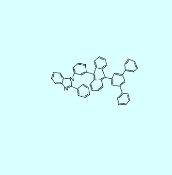 c1ccc(-c2cc(-c3ccccc3)cc(-c3c4ccccc4c(-c4cccc(-n5c(-c6ccccc6)nc6ccccc65)c4)c4ccccc34)c2)cc1